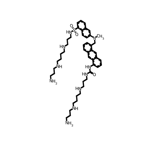 CN(Cc1cccc2cc3c(NC(=O)NCCCNCCCCNCCCN)cccc3cc12)c1ccc2c(S(=O)(=O)NCCCNCCCCNCCCN)cccc2c1